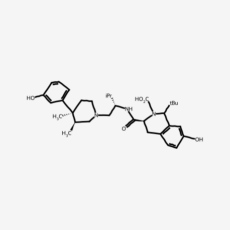 CC(C)[C@@H](CN1CC[C@](C)(c2cccc(O)c2)[C@H](C)C1)NC(=O)[C@@H]1Cc2ccc(O)cc2C(C(C)(C)C)N1C(=O)O